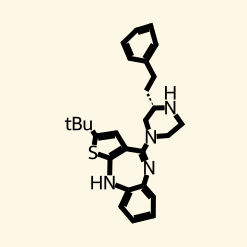 CC(C)(C)c1cc2c(s1)Nc1ccccc1N=C2N1CCN[C@@H](CCc2ccccc2)C1